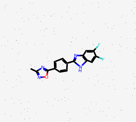 Cc1noc(-c2ccc(-c3nc4cc(F)c(F)cc4[nH]3)cc2)n1